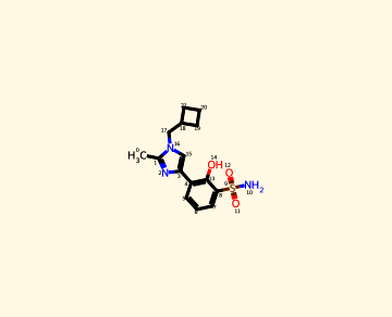 Cc1nc(-c2cccc(S(N)(=O)=O)c2O)cn1CC1CCC1